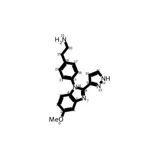 COc1ccc2c(c1)nc(-c1cc[nH]n1)n2-c1ccc(CCN)cc1